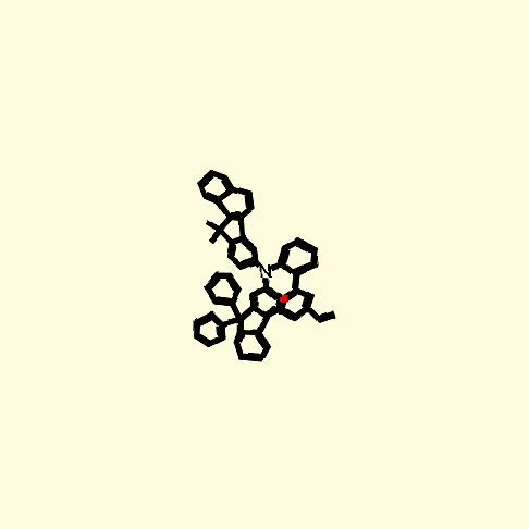 C=Cc1cccc(-c2ccccc2N(c2ccc3c(c2)-c2ccc4ccccc4c2C3(C)C)c2ccc3c(c2)C(c2ccccc2)(c2ccccc2)c2ccccc2-3)c1